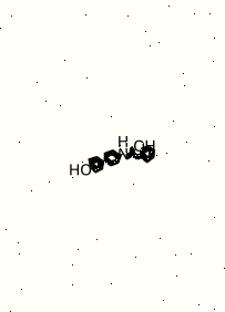 OCC(CN[C@H]1CC[C@H](c2ccc(O)cc2)CC1)Cc1ccccc1